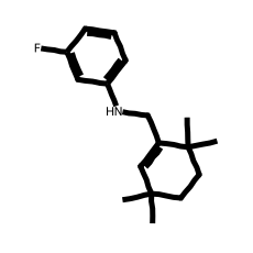 CC1(C)C=C(CNc2cccc(F)c2)C(C)(C)CC1